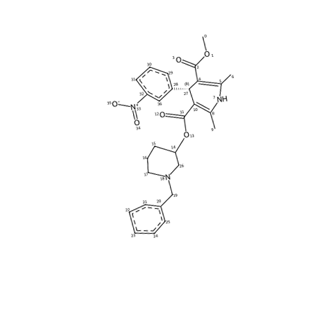 COC(=O)C1=C(C)NC(C)=C(C(=O)OC2CCCN(Cc3ccccc3)C2)[C@@H]1c1cccc([N+](=O)[O-])c1